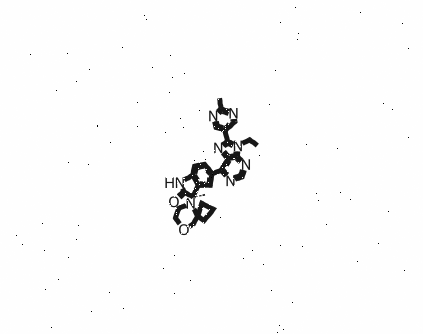 CCn1c(-c2cnc(C)nc2)nc2c(-c3ccc4c(c3)[C@@](C)(N3CCOCC35CCC5)C(=O)N4)ncnc21